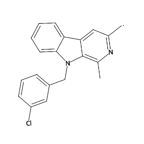 [CH2]c1cc2c3ccccc3n(Cc3cccc(Cl)c3)c2c(C)n1